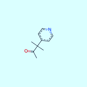 CC(=O)C(C)(C)c1ccncc1